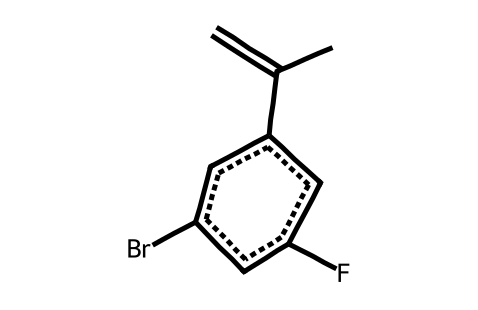 C=C(C)c1cc(F)cc(Br)c1